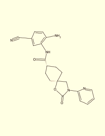 N#Cc1ccc(N)c(NC(=O)[C@H]2CC[C@]3(CC2)CN(c2ccccn2)C(=O)O3)c1